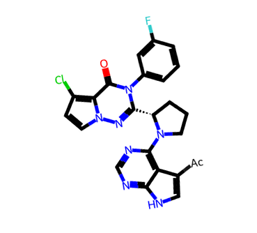 CC(=O)c1c[nH]c2ncnc(N3CCC[C@H]3c3nn4ccc(Cl)c4c(=O)n3-c3cccc(F)c3)c12